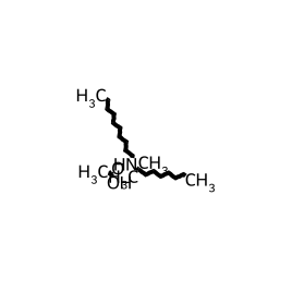 CC(=O)O.CCCCCCCCCCNC(C)(C)CCCCCCC